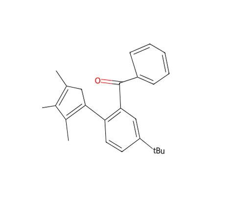 CC1=C(C)C(C)=C(c2ccc(C(C)(C)C)cc2C(=O)c2ccccc2)C1